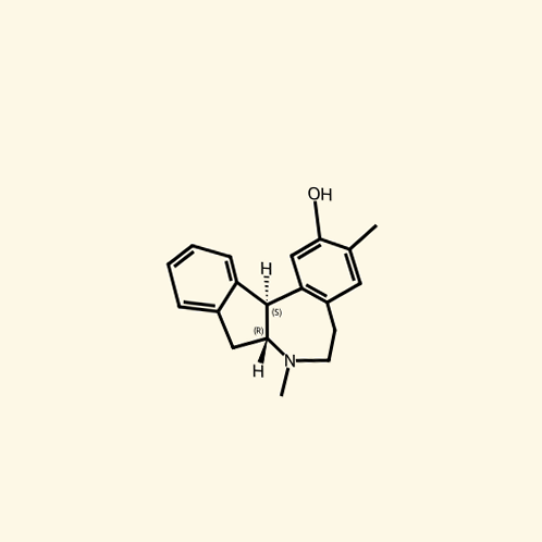 Cc1cc2c(cc1O)[C@@H]1c3ccccc3C[C@H]1N(C)CC2